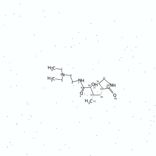 CCN(CC)CCNC(=O)C(O)[C@@H](C)C[C@@H]1CCNC1=O